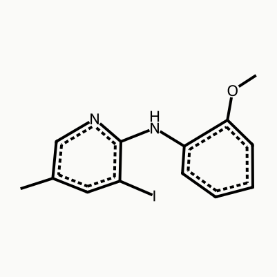 COc1ccccc1Nc1ncc(C)cc1I